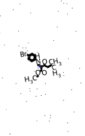 CCOC(=O)/C(=C/Nc1ccc(Br)cc1)C(=O)CC(C)C